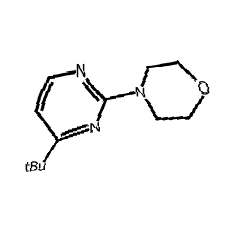 CC(C)(C)c1ccnc(N2CCOCC2)n1